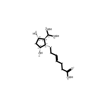 COC(=O)CCC=CCC[C@H]1[C@H](C(OC)OC)[C@@H](O)C[C@H]1O